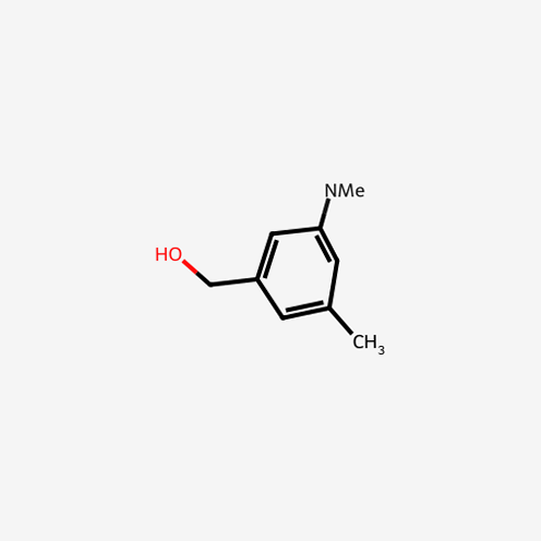 CNc1cc(C)cc(CO)c1